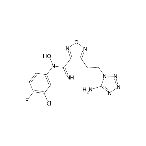 N=C(c1nonc1CCn1nnnc1N)N(O)c1ccc(F)c(Cl)c1